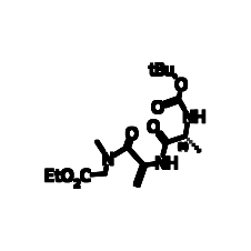 C=C(NC(=O)[C@@H](C)NC(=O)OC(C)(C)C)C(=O)N(C)CC(=O)OCC